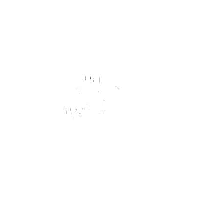 Cl.NOC(=O)CC(=O)c1cccs1